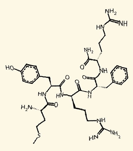 CSCC[C@H](N)C(=O)N[C@@H](Cc1ccc(O)cc1)C(=O)N[C@H](CCCNC(=N)N)C(=O)N[C@@H](Cc1ccccc1)C(=O)N[C@@H](CCCNC(=N)N)C(N)=O